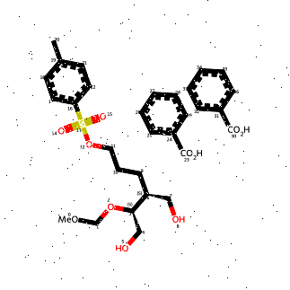 COCO[C@H](CO)[C@H](CO)CCCOS(=O)(=O)c1ccc(C)cc1.O=C(O)c1ccccc1.O=C(O)c1ccccc1